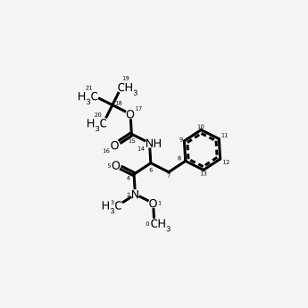 CON(C)C(=O)C(Cc1ccccc1)NC(=O)OC(C)(C)C